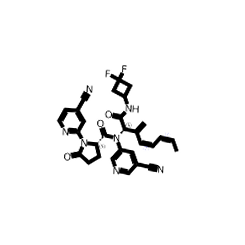 C=C(/C=C\C=C/C)[C@@H](C(=O)NC1CC(F)(F)C1)N(C(=O)[C@@H]1CCC(=O)N1c1cc(C#N)ccn1)c1cncc(C#N)c1